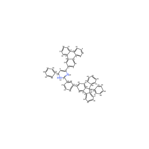 C1=C(c2ccc3c4ccccc4c4ccccc4c3c2)N=C(c2cccc(-c3ccc4c(c3)-c3ccccc3C4(c3ccccc3)c3ccccc3)c2)NC1c1ccccc1